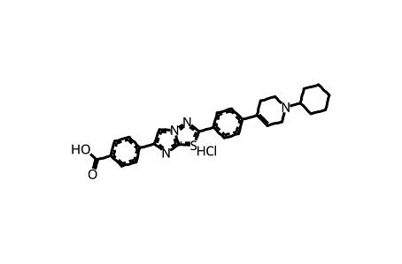 Cl.O=C(O)c1ccc(-c2cn3nc(-c4ccc(C5=CCN(C6CCCCC6)CC5)cc4)sc3n2)cc1